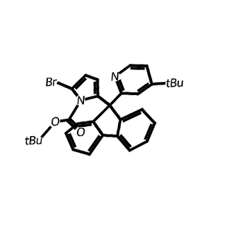 CC(C)(C)OC(=O)n1c(Br)ccc1C1(c2cc(C(C)(C)C)ccn2)c2ccccc2-c2ccccc21